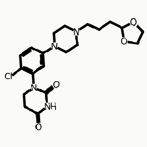 O=C1CCN(c2cc(N3CCN(CCCC4OCCO4)CC3)ccc2Cl)C(=O)N1